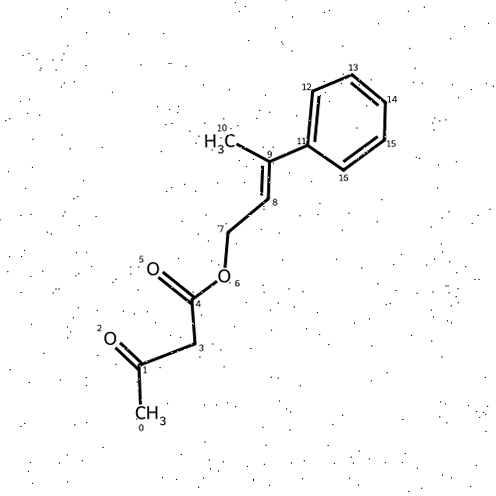 CC(=O)CC(=O)OCC=C(C)c1ccccc1